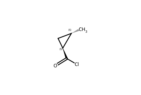 C[C@H]1C[C@@H]1C(=O)Cl